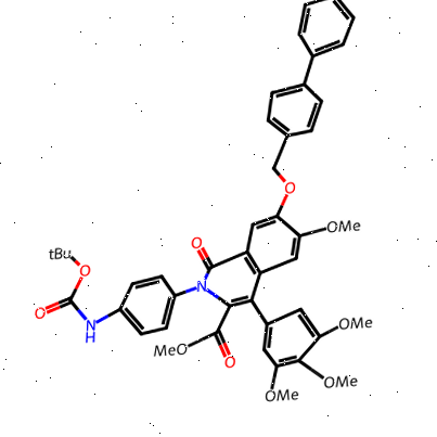 COC(=O)c1c(-c2cc(OC)c(OC)c(OC)c2)c2cc(OC)c(OCc3ccc(-c4ccccc4)cc3)cc2c(=O)n1-c1ccc(NC(=O)OC(C)(C)C)cc1